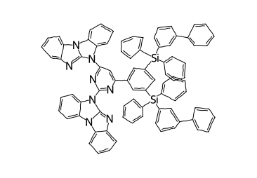 c1ccc(-c2cccc([Si](c3ccccc3)(c3ccccc3)c3cc(-c4cc(-n5c6ccccc6n6c7ccccc7nc56)nc(-n5c6ccccc6n6c7ccccc7nc56)n4)cc([Si](c4ccccc4)(c4ccccc4)c4cccc(-c5ccccc5)c4)c3)c2)cc1